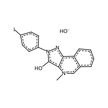 C[n+]1cc2ccccc2c2nn(-c3ccc(I)cc3)c(O)c21.[OH-]